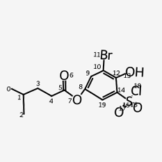 CC(C)CCC(=O)Oc1cc(Br)c(O)c(S(=O)(=O)Cl)c1